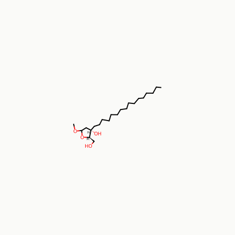 CCCCCCCCCCCCCCCC[C@]1(O)CC(OC)O[C@@H]1CO